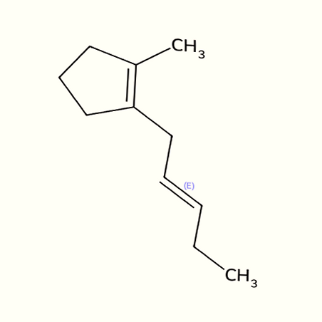 CC/C=C/CC1=C(C)CCC1